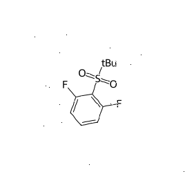 CC(C)(C)S(=O)(=O)c1c(F)cccc1F